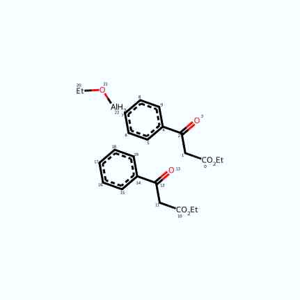 CCOC(=O)CC(=O)c1ccccc1.CCOC(=O)CC(=O)c1ccccc1.CC[O][AlH2]